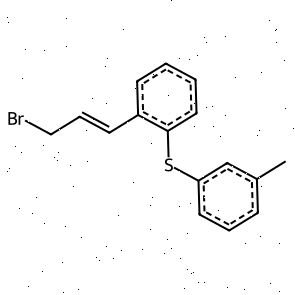 Cc1cccc(Sc2ccccc2C=CCBr)c1